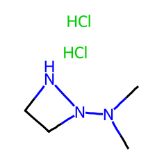 CN(C)N1CCN1.Cl.Cl